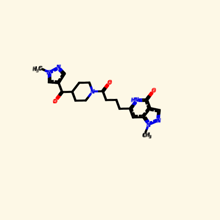 Cn1cc(C(=O)C2CCN(C(=O)CCCc3cc4c(cnn4C)c(=O)[nH]3)CC2)cn1